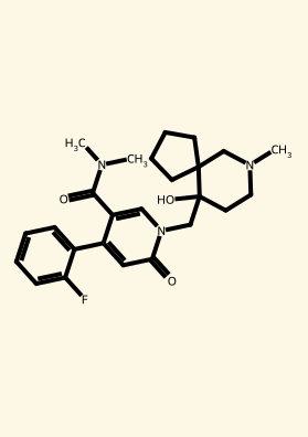 CN1CCC(O)(Cn2cc(C(=O)N(C)C)c(-c3ccccc3F)cc2=O)C2(CCCC2)C1